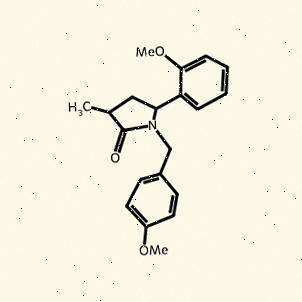 COc1ccc(CN2C(=O)C(C)CC2c2ccccc2OC)cc1